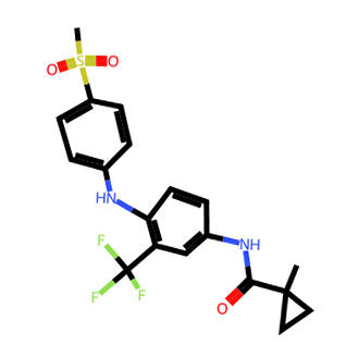 CC1(C(=O)Nc2ccc(Nc3ccc(S(C)(=O)=O)cc3)c(C(F)(F)F)c2)CC1